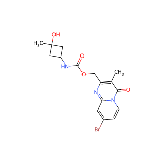 Cc1c(COC(=O)NC2CC(C)(O)C2)nc2cc(Br)ccn2c1=O